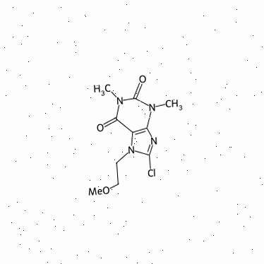 COCCn1c(Cl)nc2c1c(=O)n(C)c(=O)n2C